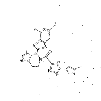 Cn1cc(-c2nnc(C(=O)N3CCc4[nH]cnc4[C@H]3c3nc4c(F)cc(F)cc4o3)o2)cn1